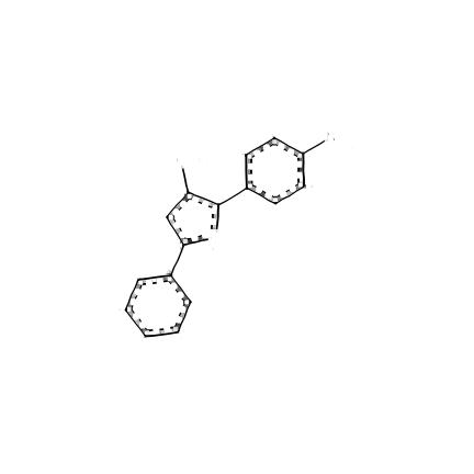 O=Cc1cc(-c2ccccc2)oc1-c1ccc([N+](=O)[O-])cc1